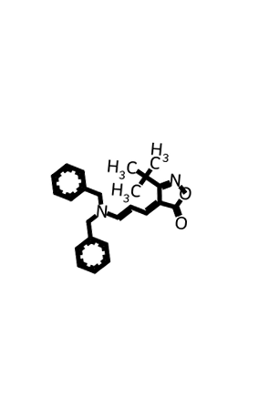 CC(C)(C)C1=NOC(=O)/C1=C/C=C/N(Cc1ccccc1)Cc1ccccc1